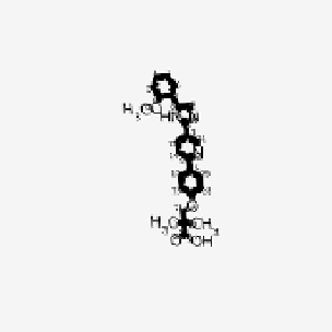 COc1ccccc1-c1cnc(-c2ccc(-c3ccc(OCC(C)(C)C(=O)O)cc3)nc2)[nH]1